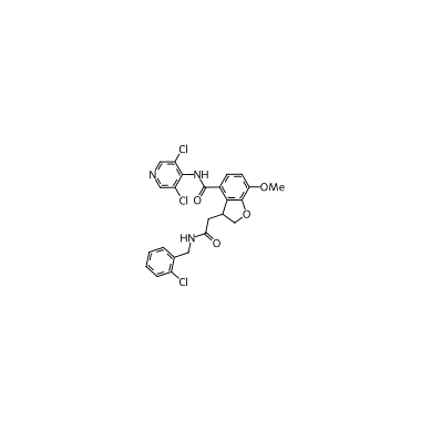 COc1ccc(C(=O)Nc2c(Cl)cncc2Cl)c2c1OCC2CC(=O)NCc1ccccc1Cl